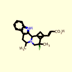 CC1Cc2c([nH]c3ccccc23)C2N1CC(C)(F)C1C3(/C=C/C(=O)O)CC21C3